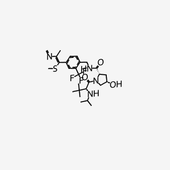 C=N/C(C)=C(\SC)c1ccc(CNC(=O)[C@@H]2C[C@@H](O)CN2C(=O)[C@@H](NC(C)C)C(C)(C)C)c(C(F)(F)F)c1